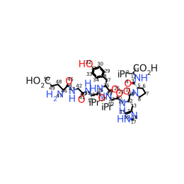 CC(C)[C@H](NC(=O)[C@@H]1CCCN1C(=O)[C@H](Cc1c[nH]cn1)NC(=O)[C@@H](NC(=O)[C@H](Cc1ccc(O)cc1)NC(=O)[C@@H](NC(=O)CNC(=O)[C@@H](N)CCC(=O)O)C(C)C)C(C)C)C(=O)O